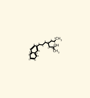 CCCC(CCCc1ccc2ccccc2c1)CC(C)O